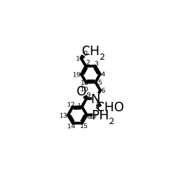 C=Cc1ccc(CN(C=O)C(=O)c2ccccc2P)cc1